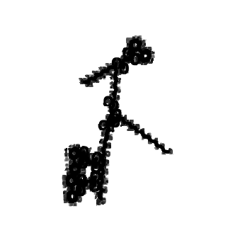 CCCCCCC=CCCCCCCCC(=O)OC(COC(=O)CCCCCCCC(CCCCCCCCC)OC(=O)CCP1(=O)Oc2ccccc2-c2ccccc21)COC(=O)CCCCCCCC(CCCC(CCCCC)OC(=O)CCP1(=O)Oc2ccccc2-c2ccccc21)OC(=O)CCP1(=O)Oc2ccccc2-c2ccccc21